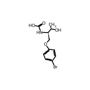 C[C@@H](O)[C@@H](COc1ccc(Br)cc1)NC(=O)O